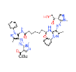 COC(=O)c1cnn(C)c1/N=N/c1c(C)nn(-c2ccccc2)c1NC(=O)CCCCCC(=O)Nc1c(/N=N/c2c(C(=O)CO)cnn2C)c(C)nn1-c1ccccc1